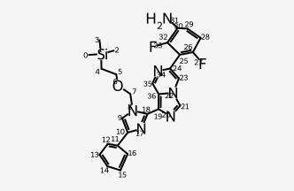 C[Si](C)(C)CCOCn1cc(-c2ccccc2)nc1-c1ncn2cc(-c3c(F)ccc(N)c3F)ncc12